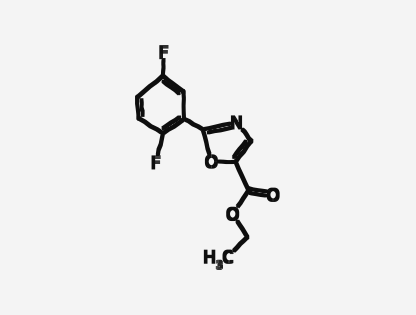 CCOC(=O)c1cnc(-c2cc(F)ccc2F)o1